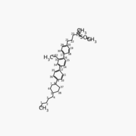 CCCCCC1CCC(c2ccc(-c3ccc(-c4ccc(CCCN(C)SOC)cc4)c(CC)c3)cc2)CC1